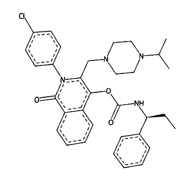 CC[C@H](NC(=O)Oc1c(CN2CCN(C(C)C)CC2)n(-c2ccc(Cl)cc2)c(=O)c2ccccc12)c1ccccc1